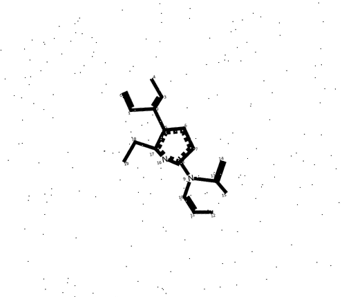 C=C/C(=C\C)c1ccc(N(/C=C\C)C(=C)C)nc1CC